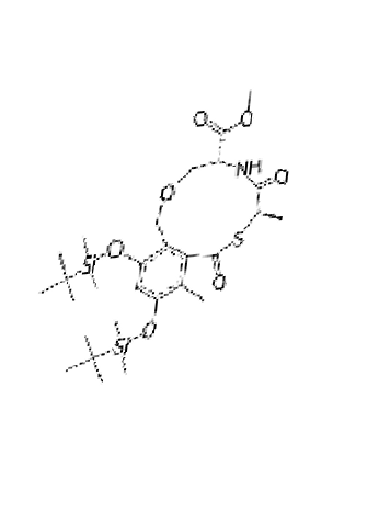 COC(=O)[C@H]1COCc2c(O[Si](C)(C)C(C)(C)C)cc(O[Si](C)(C)C(C)(C)C)c(C)c2C(=O)S[C@H](C)C(=O)N1